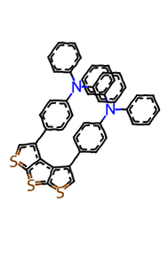 c1ccc(N(c2ccccc2)c2ccc(-c3csc4sc5scc(-c6ccc(N(c7ccccc7)c7ccccc7)cc6)c5c34)cc2)cc1